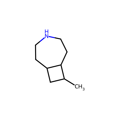 CC1CC2CCNCCC12